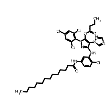 CCCCCCCCCCCCCC(=O)Nc1ccc(Cl)c(Nc2nn(-c3c(Cl)cc(Cl)cc3Cl)c(OC(=O)CCC)c2-n2cncn2)c1